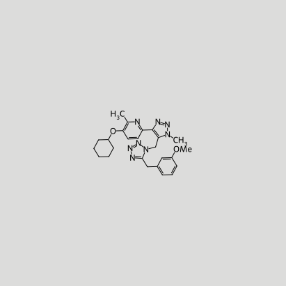 COc1cccc(Cc2nnnn2Cc2c(-c3ccc(OC4CCCCC4)c(C)n3)nnn2C)c1